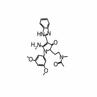 COc1cc(OC)cc(N2C(N)=C(c3nc4ccccc4[nH]3)C(=O)C2CCN(C)C(C)=O)c1